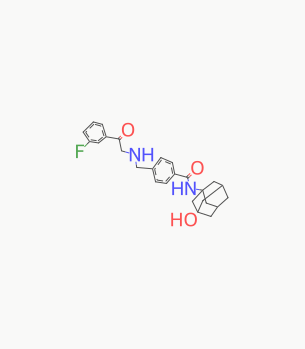 O=C(CNCc1ccc(C(=O)NC23CC4CC(CC(O)(C4)C2)C3)cc1)c1cccc(F)c1